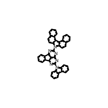 c1ccc2c(c1)-c1nc(-n3c4ccccc4c4ccccc43)nc3nc(-n4c5ccc6ccccc6c5c5c6ccccc6ccc54)nc-2c13